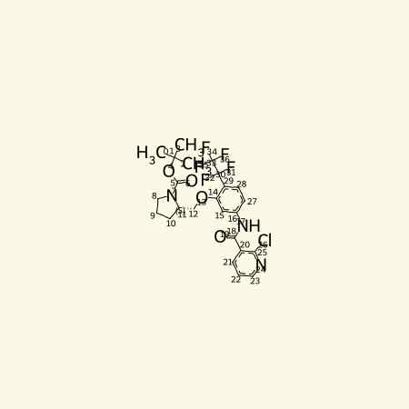 CC(C)(C)OC(=O)N1CCC[C@H]1COc1cc(NC(=O)c2cccnc2Cl)ccc1C(F)(F)C(F)(F)F